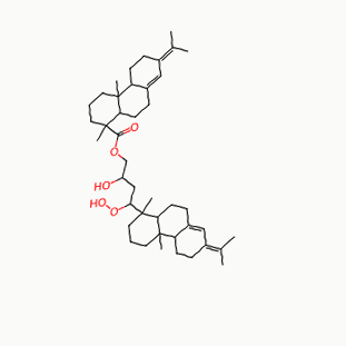 CC(C)=C1C=C2CCC3C(C)(C(=O)OCC(O)CC(OO)C4(C)CCCC5(C)C6CCC(=C(C)C)C=C6CCC45)CCCC3(C)C2CC1